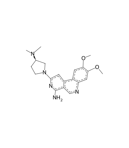 COc1cc2ncc3c(N)nc(N4CC[C@@H](N(C)C)C4)cc3c2cc1OC